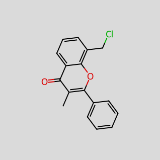 Cc1c(-c2ccccc2)oc2c(CCl)cccc2c1=O